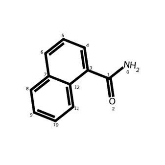 NC(=O)c1cccc2ccccc12